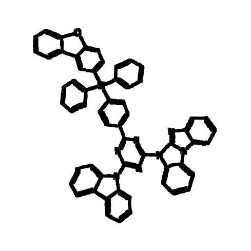 c1ccc([Si](c2ccccc2)(c2ccc(-c3nc(-n4c5ccccc5c5ccccc54)nc(-n4c5ccccc5n5c6ccccc6nc45)n3)cc2)c2ccc3oc4ccccc4c3c2)cc1